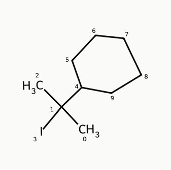 CC(C)(I)C1CCCCC1